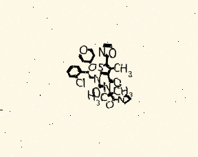 Cc1c(-c2ncco2)sc2c1c(=O)n(C(C)(C)C(=O)N1CCC1)c(=O)n2C[C@H](OC1CCOCC1)c1ccccc1Cl